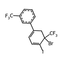 FC(F)(F)c1cccc(C2=CC=C(I)C(Br)(C(F)(F)F)C2)c1